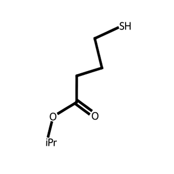 CC(C)OC(=O)CCCS